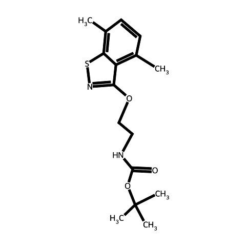 Cc1ccc(C)c2c(OCCNC(=O)OC(C)(C)C)nsc12